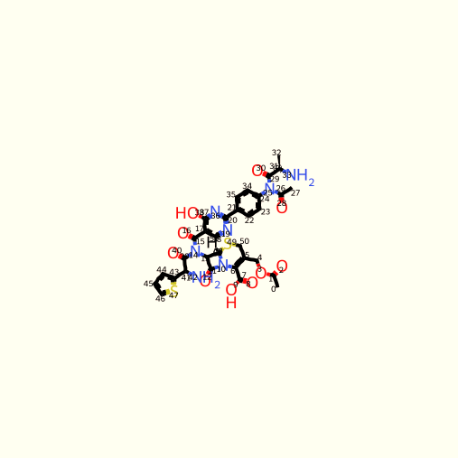 CC(=O)OCC1=C(C(=O)O)N2C(=O)C(N(C(=O)c3cnc(-c4ccc(N(C(C)=O)C(=O)[C@@H](C)N)cc4)nc3O)C(=O)C(N)c3cccs3)[C@@H]2SC1